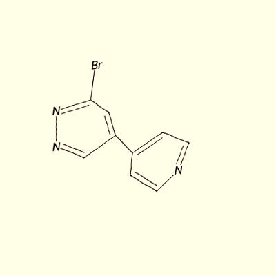 Brc1cc(-c2ccncc2)cnn1